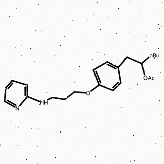 CCCCC(Cc1ccc(OCCCNc2ccccn2)cc1)OC(C)=O